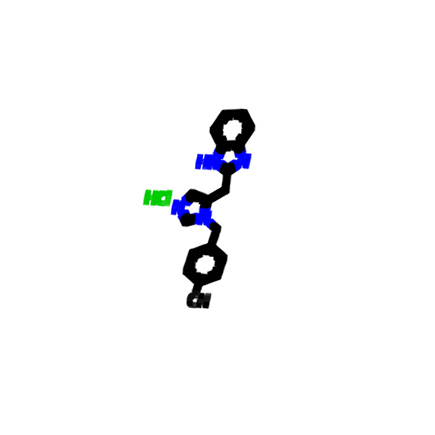 Cl.N#Cc1ccc(Cn2cncc2Cc2nc3ccccc3[nH]2)cc1